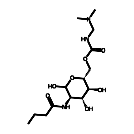 CCCC(=O)N[C@H]1C(O)O[C@H](COC(=O)NCN(C)C)[C@@H](O)[C@@H]1O